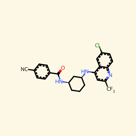 N#Cc1ccc(C(=O)N[C@@H]2CCC[C@H](Nc3cc(C(F)(F)F)nc4ccc(Cl)cc34)C2)cc1